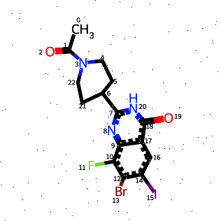 CC(=O)N1CCC(c2nc3c(F)c(Br)c(I)cc3c(=O)[nH]2)CC1